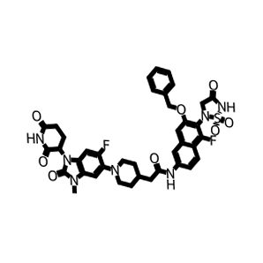 Cn1c(=O)n(C2CCC(=O)NC2=O)c2cc(F)c(N3CCC(CC(=O)Nc4ccc5c(F)c(N6CC(=O)NS6(=O)=O)c(OCc6ccccc6)cc5c4)CC3)cc21